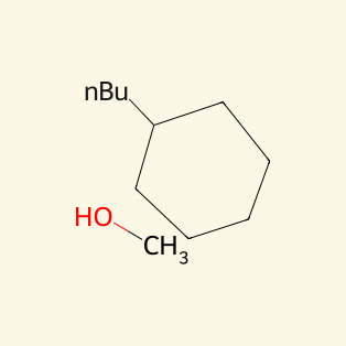 CCCCC1CCCCC1.CO